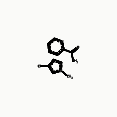 Cn1ccc(Cl)c1.NC(=O)c1ccccn1